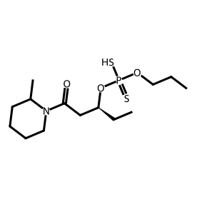 CCCOP(=S)(S)O[C@@H](CC)CC(=O)N1CCCCC1C